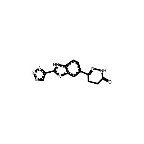 O=C1CCC(c2ccc3[nH]c(-c4cnsn4)nc3c2)=NN1